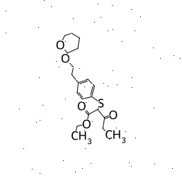 CCOC(=O)C(Sc1ccc(CCOC2CCCCO2)cc1)C(=O)CC